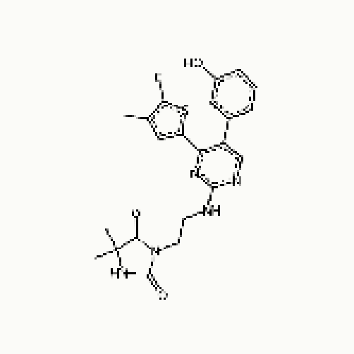 Cc1cc(-c2nc(NCCN3C(=O)NC(C)(C)C3=O)ncc2-c2cccc(O)c2)sc1Cl